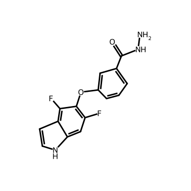 NNC(=O)c1cccc(Oc2c(F)cc3[nH]ccc3c2F)c1